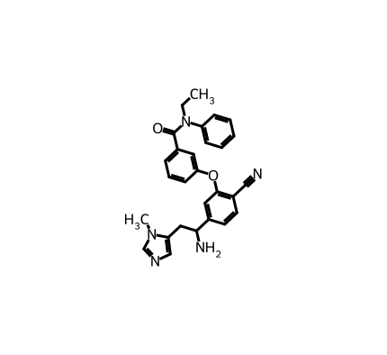 CCN(C(=O)c1cccc(Oc2cc(C(N)Cc3cncn3C)ccc2C#N)c1)c1ccccc1